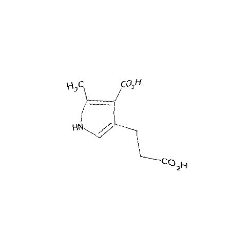 Cc1[nH]cc(CCC(=O)O)c1C(=O)O